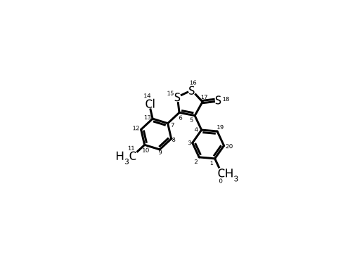 Cc1ccc(-c2c(-c3ccc(C)cc3Cl)ssc2=S)cc1